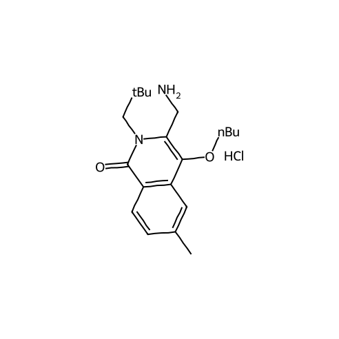 CCCCOc1c(CN)n(CC(C)(C)C)c(=O)c2ccc(C)cc12.Cl